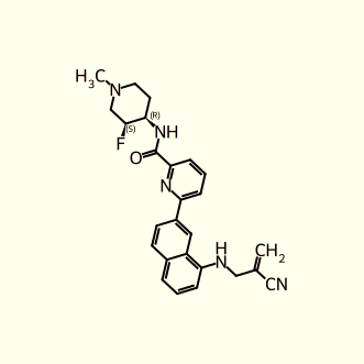 C=C(C#N)CNc1cccc2ccc(-c3cccc(C(=O)N[C@@H]4CCN(C)C[C@@H]4F)n3)cc12